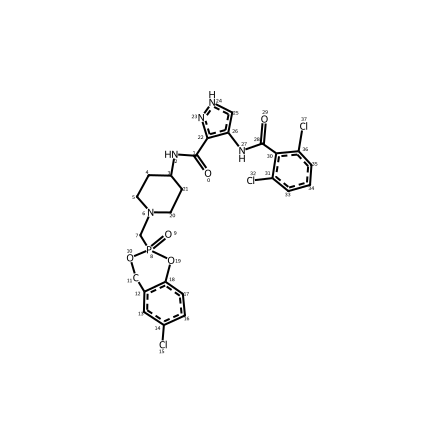 O=C(NC1CCN(CP2(=O)OCc3cc(Cl)ccc3O2)CC1)c1n[nH]cc1NC(=O)c1c(Cl)cccc1Cl